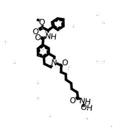 COC(=O)[C@@H](NC(=O)c1ccc2c(c1)CN(C(=O)CCCCCCC(=O)NO)CC2)c1ccccc1